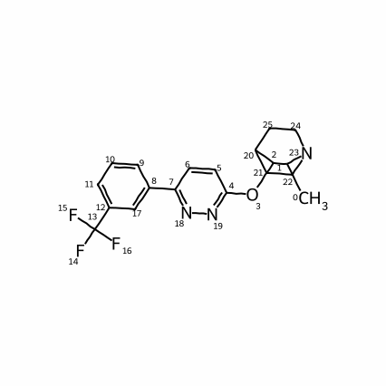 CC1C(Oc2ccc(-c3cccc(C(F)(F)F)c3)nn2)C2CCN1CC2